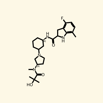 Cc1ccc(F)c2c1NC(C(=O)N[C@@H]1CCCC(N3CC[C@@H](N(C)C(=O)C(C)(C)O)C3)C1)C2